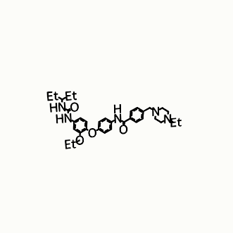 CCOc1cc(NC(=O)NC(CC)CC)ccc1Oc1ccc(NC(=O)c2ccc(CN3CCN(CC)CC3)cc2)cc1